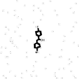 CSc1ccc(CC(O)c2ccc(F)cc2)cc1